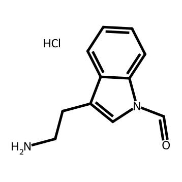 Cl.NCCc1cn(C=O)c2ccccc12